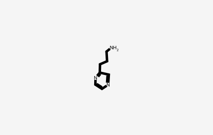 NCCCc1cnccn1